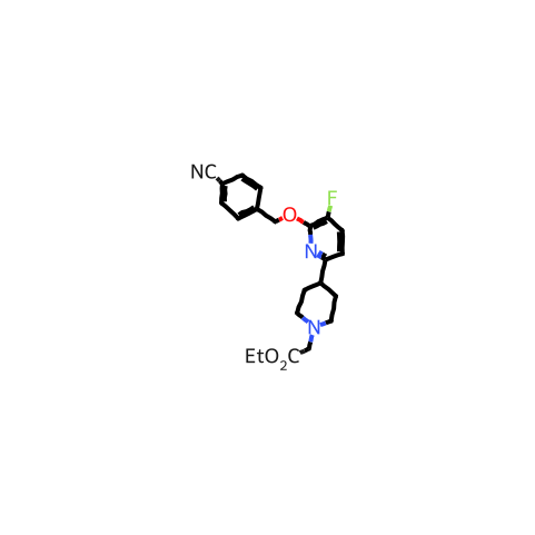 CCOC(=O)CN1CCC(c2ccc(F)c(OCc3ccc(C#N)cc3)n2)CC1